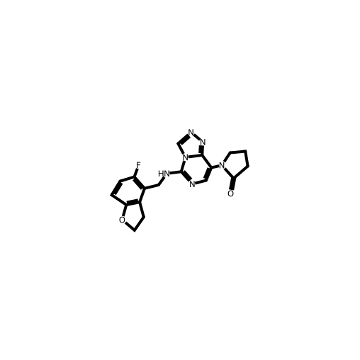 O=C1CCCN1c1cnc(NCc2c(F)ccc3c2CCO3)n2cnnc12